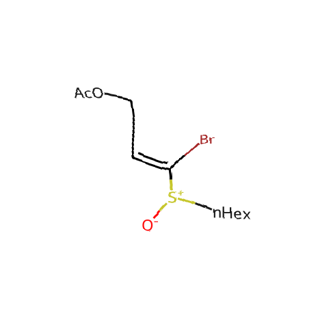 CCCCCC[S+]([O-])/C(Br)=C/COC(C)=O